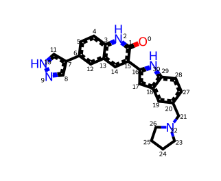 O=c1[nH]c2ccc(-c3cn[nH]c3)cc2cc1-c1cc2cc(CN3CCCC3)ccc2[nH]1